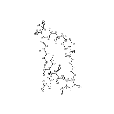 CSC1CC(=O)N(CCCCCC(=O)N[C@H]2CC[C@H](NC(=O)C[C@@H]3C[C@@]4(CO4)[C@H](O)[C@@H](/C=C/C(C)=C/C[C@@H]4O[C@H](C)[C@H](NC(=O)/C=C\[C@H](C)OC(C)=O)C[C@@H]4C)O3)CC2)C1=O